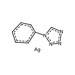 [Ag].c1ccc(-n2cnnn2)cc1